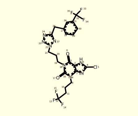 O=c1c2[nH]c(Cl)nc2n(CCCC(F)(F)F)c(=O)n1CCCn1nnc(Cc2cccc(C(F)(F)F)c2)n1